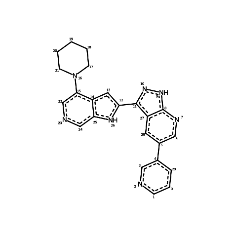 c1cncc(-c2cnc3[nH]nc(-c4cc5c(N6CCCCC6)cncc5[nH]4)c3c2)c1